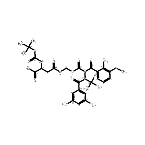 COc1cccc(C(=O)N(C(=O)OCOC(=O)CC(NC(=O)OC(C)(C)C)C(=O)O)N(C(=O)c2cc(C)cc(C)c2)C(C)(C)C)c1C